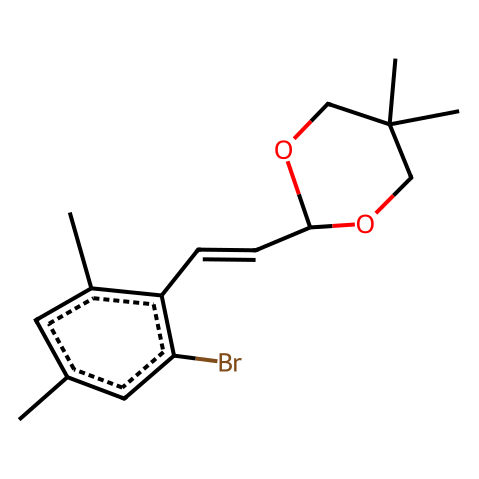 Cc1cc(C)c(/C=C/C2OCC(C)(C)CO2)c(Br)c1